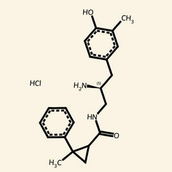 Cc1cc(C[C@H](N)CNC(=O)C2CC2(C)c2ccccc2)ccc1O.Cl